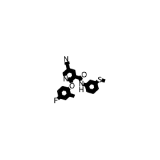 CSc1cccc(NC(=O)c2cc(C#N)cnc2Oc2ccc(F)cc2C)c1